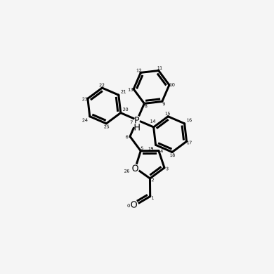 O=Cc1ccc(C[PH](c2ccccc2)(c2ccccc2)c2ccccc2)o1